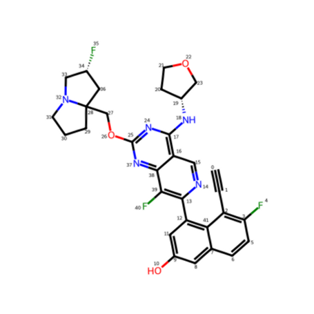 C#Cc1c(F)ccc2cc(O)cc(-c3ncc4c(N[C@@H]5CCOC5)nc(OCC56CCCN5C[C@H](F)C6)nc4c3F)c12